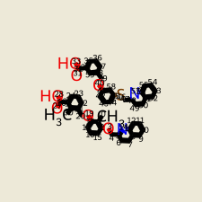 Cc1c(OCc2ccc3ccccc3n2)cccc1OCc1cccc(C(=O)O)c1C.O=C(O)c1cccc(COc2cccc(SCc3ccc4ccccc4n3)c2)c1